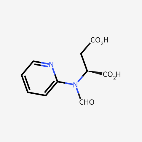 O=CN(c1ccccn1)[C@@H](CC(=O)O)C(=O)O